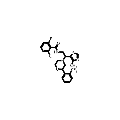 Cc1ncsc1C(CNC(=O)c1c(F)cccc1Cl)N1CCOC(c2ccccc2C(F)(F)F)C1